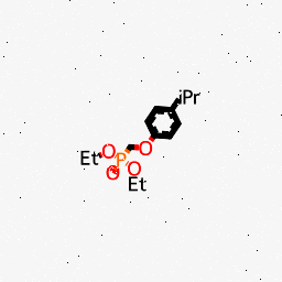 CCOP(=O)(COc1ccc(C(C)C)cc1)OCC